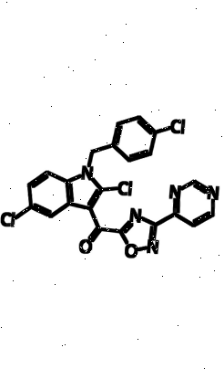 O=C(c1nc(-c2ccncn2)no1)c1c(Cl)n(Cc2ccc(Cl)cc2)c2ccc(Cl)cc12